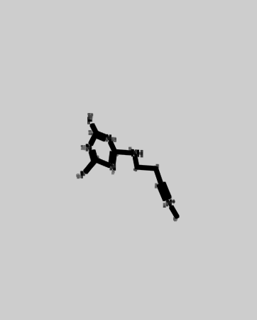 C[N+]#CCCNc1nc(F)nc(F)n1